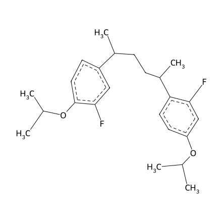 CC(C)Oc1ccc(C(C)CCC(C)c2ccc(OC(C)C)c(F)c2)c(F)c1